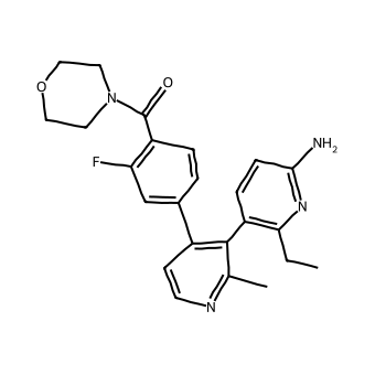 CCc1nc(N)ccc1-c1c(-c2ccc(C(=O)N3CCOCC3)c(F)c2)ccnc1C